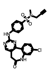 C#CCN(C)S(=O)(=O)c1ccc(Nc2ncc3c(n2)-c2ccc(Cl)cc2NC(=O)C3)cc1